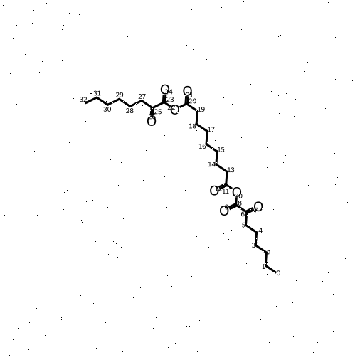 CCCCCCC(=O)C(=O)OC(=O)CCCCCCCC(=O)OC(=O)C(=O)CCCCCC